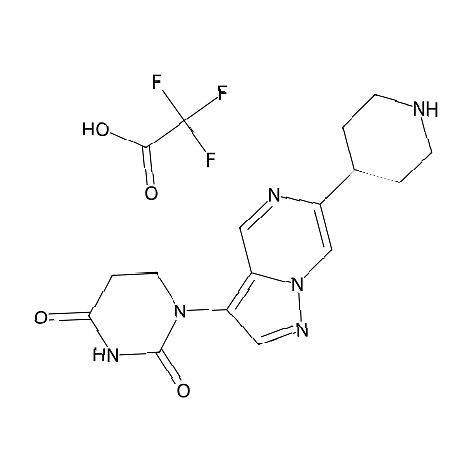 O=C(O)C(F)(F)F.O=C1CCN(c2cnn3cc(C4CCNCC4)ncc23)C(=O)N1